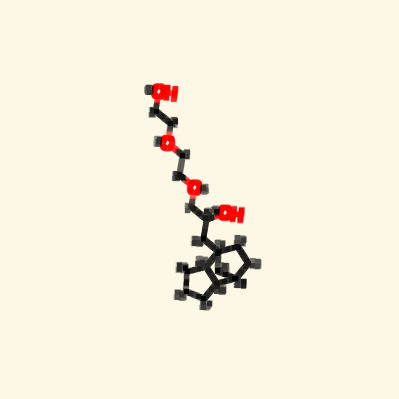 OCCOCCOCC(O)CC12CCC(C1)C1CCCC12